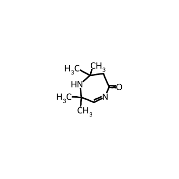 CC1(C)C=NC(=O)CC(C)(C)N1